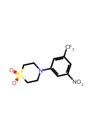 O=[N+]([O-])c1cc(N2CCS(=O)(=O)CC2)cc(C(F)(F)F)c1